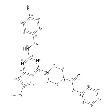 CCc1cc2c(N3CCN(C(=O)Cc4ccccc4)CC3)nc(NCc3ccc(F)cc3)nc2s1